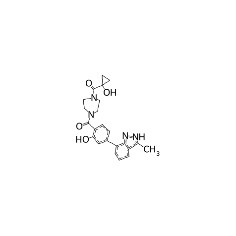 Cc1[nH]nc2c(-c3ccc(C(=O)N4CCN(C(=O)C5(O)CC5)CC4)c(O)c3)cccc12